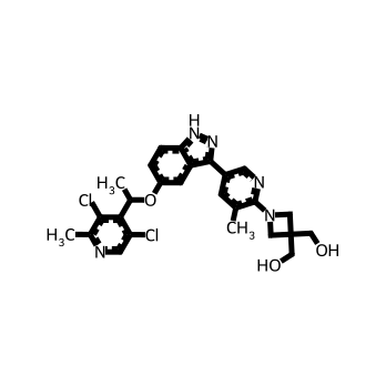 Cc1cc(-c2n[nH]c3ccc(OC(C)c4c(Cl)cnc(C)c4Cl)cc23)cnc1N1CC(CO)(CO)C1